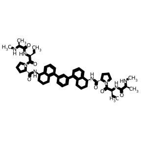 CC[C@H](NC(=O)[C@H](C)NC)C(=O)N1CCC[C@H]1C(=O)N[C@@H]1CCCc2c(-c3cccc(-c4cccc5c4CCC[C@H]5NC(=O)[C@@H]4CCCN4C(=O)[C@H](CC)NC(=O)[C@H](C)NC)c3)cccc21